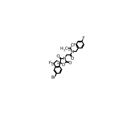 C[C@H](N(Cc1ccc(F)cc1)C(=O)CN1C(=O)O[C@@]2(C[C@H](F)c3cc(Br)ccc32)C1=O)C(F)(F)F